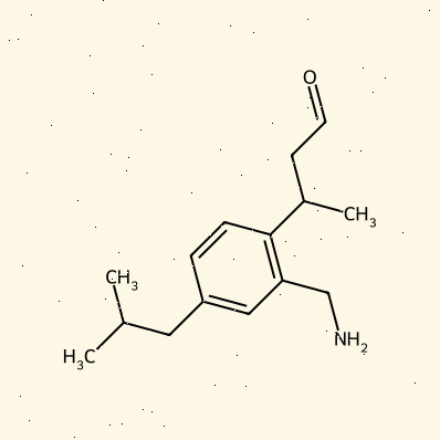 CC(C)Cc1ccc(C(C)CC=O)c(CN)c1